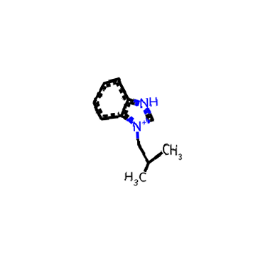 CC(C)C[n+]1c[nH]c2ccccc21